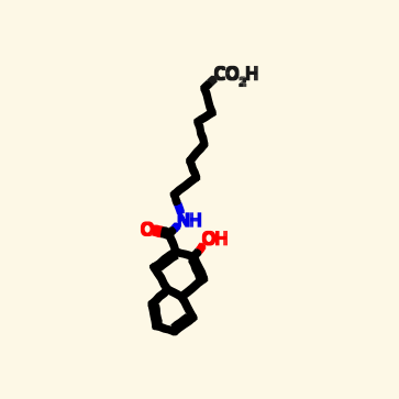 O=C(O)CCCCCCCNC(=O)C1=CC2C=CC=CC2C=C1O